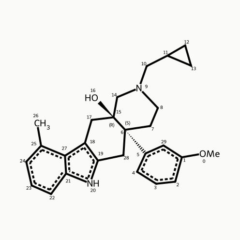 COc1cccc([C@@]23CCN(CC4CC4)C[C@@]2(O)Cc2c([nH]c4cccc(C)c24)C3)c1